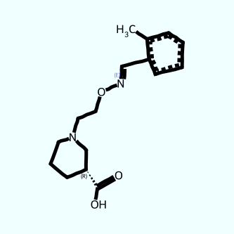 Cc1ccccc1/C=N/OCCN1CCC[C@@H](C(=O)O)C1